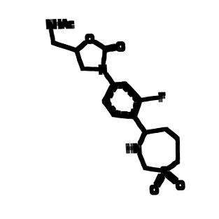 CC(=O)NCC1CN(c2ccc(C3CCCS(=O)(=O)CN3)c(F)c2)C(=O)O1